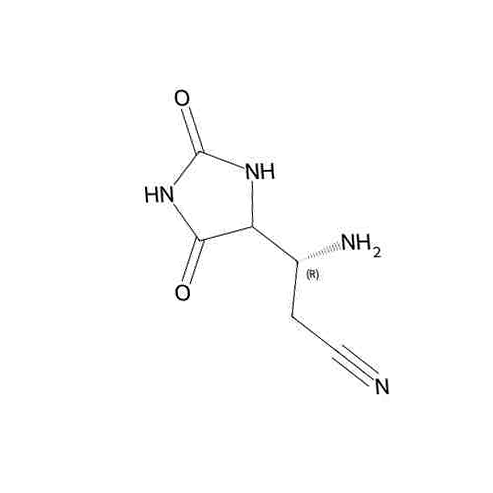 N#CC[C@@H](N)C1NC(=O)NC1=O